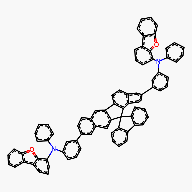 c1ccc(N(c2cccc(-c3ccc4cc5c(cc4c3)C3(c4ccccc4-c4ccccc43)c3c-5ccc4cc(-c5cccc(N(c6ccccc6)c6cccc7c6oc6ccccc67)c5)ccc34)c2)c2cccc3c2oc2ccccc23)cc1